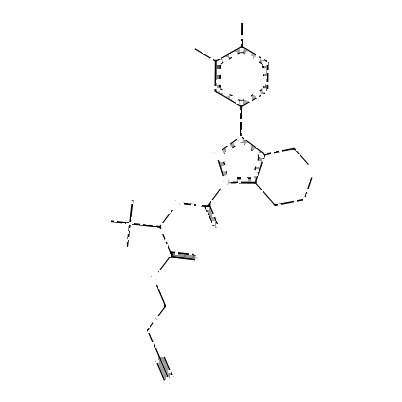 CC(C)(C)C(NC(=O)n1nc(-c2ccc(F)c(F)c2)c2c1CCOC2)C(=O)NCCC#N